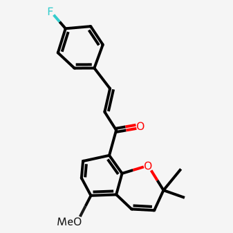 COc1ccc(C(=O)/C=C/c2ccc(F)cc2)c2c1C=CC(C)(C)O2